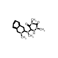 CN1NC(N(C)C2Cc3ccccc3CN2C)C(=O)N(C)C1=O